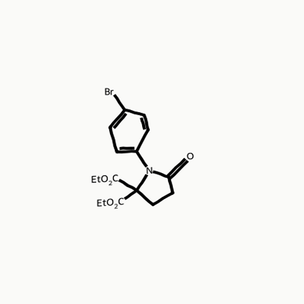 CCOC(=O)C1(C(=O)OCC)CCC(=O)N1c1ccc(Br)cc1